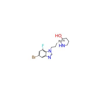 O[C@H]1CCCN[C@@H]1CCCn1cnc2cc(Br)cc(F)c21